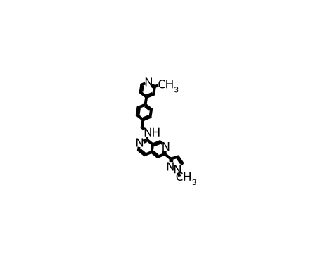 Cc1cc(-c2ccc(CNc3nccc4cc(-c5ccn(C)n5)ncc34)cc2)ccn1